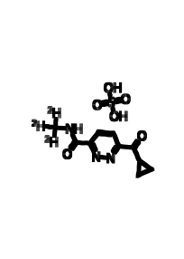 O=S(=O)(O)O.[2H]C([2H])([2H])NC(=O)c1ccc(C(=O)C2CC2)nn1